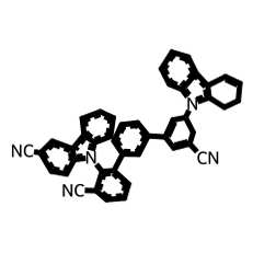 N#CC1=CC(c2cccc(-c3cccc(C#N)c3-n3c4ccccc4c4cc(C#N)ccc43)c2)=CC(n2c3c(c4ccccc42)C=CCC3)C1